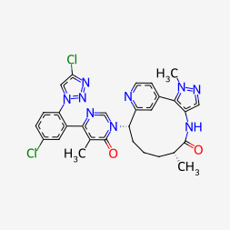 Cc1c(-c2cc(Cl)ccc2-n2cc(Cl)nn2)ncn([C@H]2CCC[C@@H](C)C(=O)Nc3cnn(C)c3-c3ccnc2c3)c1=O